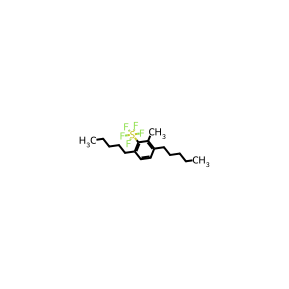 CCCCCc1ccc(CCCCC)c(S(F)(F)(F)(F)F)c1C